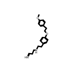 COc1ccc(CCOc2ccc(CCNCCC=N)cc2)cc1